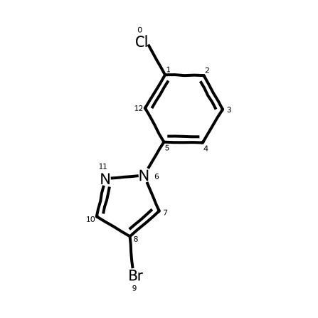 Clc1cccc(-n2cc(Br)cn2)c1